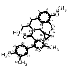 CCC(Cc1ccc(OC)c(OC)c1)N(CC1CC1)C(=O)c1nc(C)sc1-c1ccc(C)c(C)c1